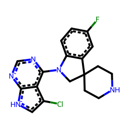 Fc1ccc2c(c1)C1(CCNCC1)CN2c1ncnc2[nH]cc(Cl)c12